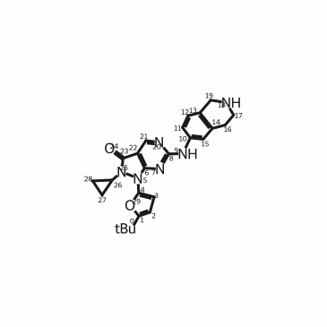 CC(C)(C)c1ccc(-n2c3nc(Nc4ccc5c(c4)CCNC5)ncc3c(=O)n2C2CC2)o1